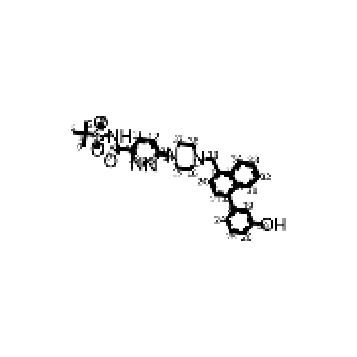 CC(C)(C)S(=O)(=O)NC(=O)c1ccc(N2CCN(Cc3ccc(-c4cccc(O)c4)c4ccccc34)CC2)nn1